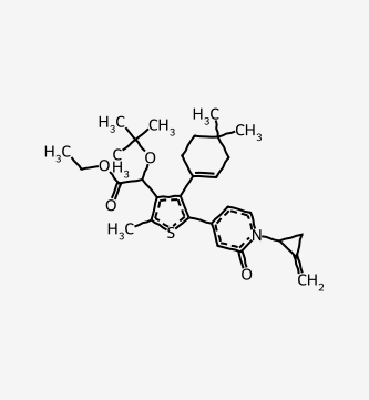 C=C1CC1n1ccc(-c2sc(C)c(C(OC(C)(C)C)C(=O)OCC)c2C2=CCC(C)(C)CC2)cc1=O